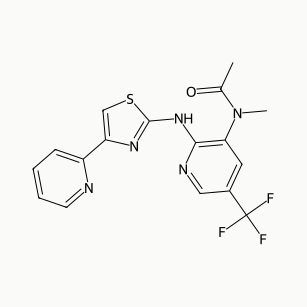 CC(=O)N(C)c1cc(C(F)(F)F)cnc1Nc1nc(-c2ccccn2)cs1